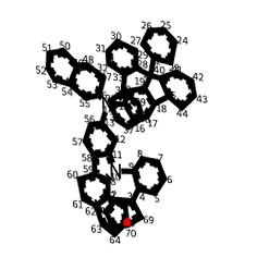 c1ccc(-c2ccccc2-n2c3cc(N(c4ccc5c(c4)C(c4ccccc4)(c4ccccc4-c4ccccc4)c4ccccc4-5)c4ccc5ccccc5c4)ccc3c3ccc4ccccc4c32)cc1